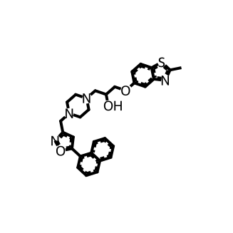 Cc1nc2cc(OCC(O)CN3CCN(Cc4cc(-c5cccc6ccccc56)on4)CC3)ccc2s1